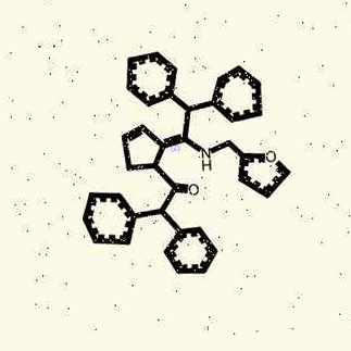 O=C(C1CC=C/C1=C(/NCc1ccco1)C(c1ccccc1)c1ccccc1)C(c1ccccc1)c1ccccc1